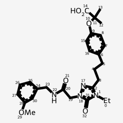 CCn1c(CCCc2ccc(OC(C)(C)C(=O)O)cc2)nn(CC(=O)NCc2cccc(OC)c2)c1=O